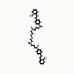 CC[n+]1ccccc1/C=C/c1ccc(N(C)CCCN(C)CCSSCCN(C)CCCN(C)c2ccc(/C=C/c3cccc[n+]3CC)cc2)cc1